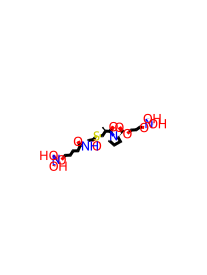 C[C@H](CSC(=O)CNC(=O)CCCCON(O)O)C(=O)N1CCC[C@H]1C(=O)OCCCON(O)O